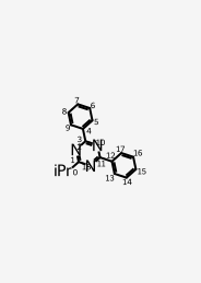 CC(C)c1nc(-c2ccccc2)nc(-c2ccccc2)n1